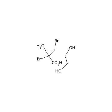 CC(Br)(CBr)C(=O)O.OCCO